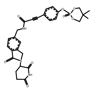 CC1(C)COP(=O)(Oc2ccc(C#CC(=O)NCc3ccc4c(c3)CN(C3CCC(=O)NC3=O)C4=O)cc2)OC1